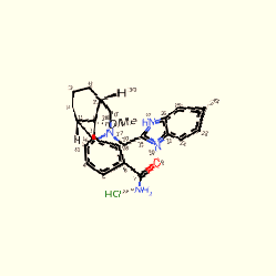 CO[C@@]1(c2cccc(C(N)=O)c2)[C@@H]2CCC[C@H]1CN(Cc1nc3ccccc3[nH]1)C2.Cl